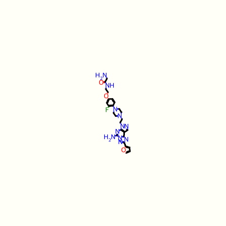 NCC(=O)NCCOc1ccc(N2CCN(CCn3ncc4c3nc(N)n3nc(-c5ccco5)nc43)CC2)c(F)c1